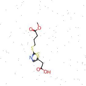 COC(=O)CCCSc1ncc(CC(=O)O)s1